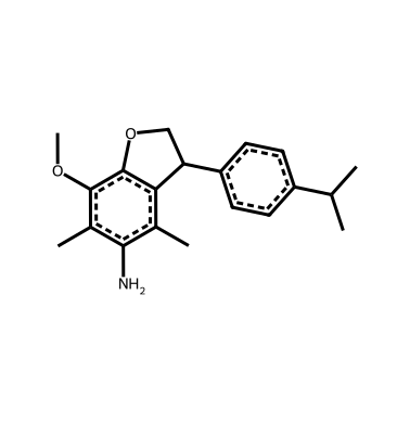 COc1c(C)c(N)c(C)c2c1OCC2c1ccc(C(C)C)cc1